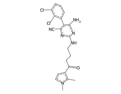 Cc1c(C(=O)CCCNc2nc(N)c(-c3cccc(Cl)c3Cl)c(C#N)n2)ccn1C